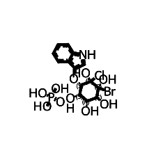 O=P(O)(O)O.O[C@@H]1[C@H](O)[C@H](Oc2c[nH]c3ccccc23)[C@](O)(Cl)[C@@](O)(Br)[C@H]1O